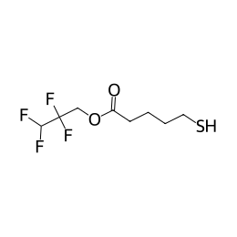 O=C(CCCCS)OCC(F)(F)C(F)F